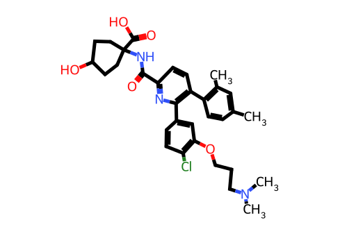 Cc1ccc(-c2ccc(C(=O)NC3(C(=O)O)CCC(O)CC3)nc2-c2ccc(Cl)c(OCCCN(C)C)c2)c(C)c1